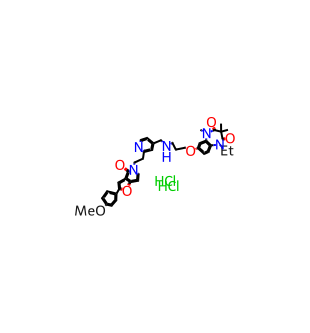 CCN1C(=O)C(C)(C)C(=O)N(C)c2cc(OCCCNCc3ccnc(CCn4ccc5oc(-c6ccc(OC)cc6)cc5c4=O)c3)ccc21.Cl.Cl